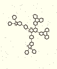 c1ccc(-c2nc3cc(-c4ccc(-c5nc(-c6ccc(-c7ccc8c(c7)nc(-c7ccccc7)n8-c7ccccc7)cc6)c6cc(-c7ccc8c9ccccc9c9ccccc9c8c7)cc(-c7ccc8c9ccccc9c9ccccc9c8c7)c6n5)cc4)ccc3n2-c2ccccc2)cc1